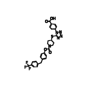 O=C(O)c1ccc(-n2nnnc2SC2CCN(C(=O)Oc3ccc(Cc4ccc(C(F)(F)F)cc4)cc3)CC2)cc1